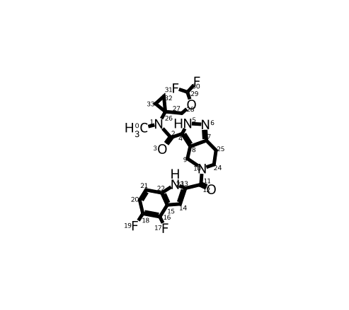 CN(C(=O)c1[nH]nc2c1CN(C(=O)c1cc3c(F)c(F)ccc3[nH]1)CC2)C1(COC(F)F)CC1